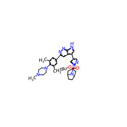 Cc1cc(-c2cc3c(-c4cnn(C5CC6CCC(C5)N6C(=O)OC(C)(C)C)c4)c[nH]c3nn2)cc(C)c1N1CCN(C)CC1